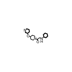 O=C(CNc1ccccc1)N1CCC(Oc2cccnc2)CC1